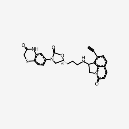 C#Cc1ccc2ccc(=O)n3c2c1C(NCCC[C@@H]1CN(c2ccc4c(c2)NC(=O)CS4)C(=O)O1)C3